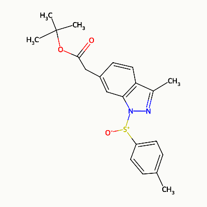 Cc1ccc([S+]([O-])n2nc(C)c3ccc(CC(=O)OC(C)(C)C)cc32)cc1